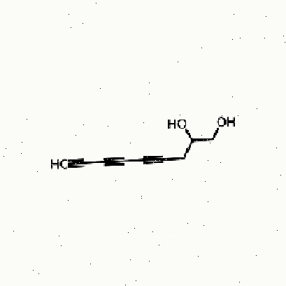 C#CC#CC#CCC(O)CO